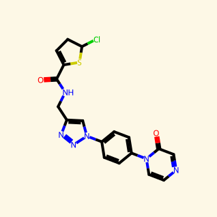 O=C(NCc1cn(-c2ccc(-n3ccncc3=O)cc2)nn1)C1=CCC(Cl)S1